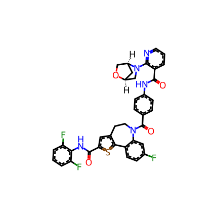 O=C(Nc1c(F)cccc1F)c1cc2c(s1)-c1ccc(F)cc1N(C(=O)c1ccc(NC(=O)c3cccnc3N3C[C@@H]4C[C@H]3CO4)cc1)CC2